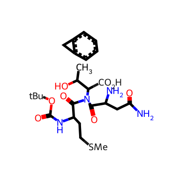 CSCCC(NC(=O)OC(C)(C)C)C(=O)N(C(=O)C(N)CC(N)=O)C(C(=O)O)C(C)O.c1ccc2c(c1)C2